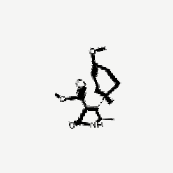 COC(=O)[C@@H]1C(=O)N[C@H](C)[C@H]1C1(C)C=CC(OC)=CC1